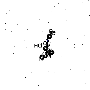 COC(=O)c1ccc(/C=C/C(=O)N(C)c2cccc(-n3c(=O)c(Cc4cccnc4)nc4cccnc43)c2)cc1.Cl